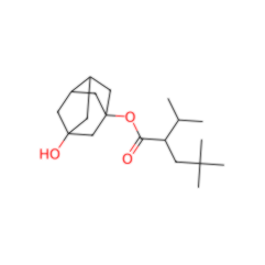 CC(C)C(CC(C)(C)C)C(=O)OC12CC3CC(O)(CC3C1)C2